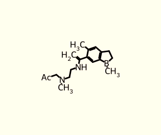 C=C(NCCN(C)CC(C)=O)c1cc2c(cc1C)CCB2C